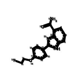 NC(=O)c1cccc2[nH]c(-c3ccc(OCCF)cc3)nc12